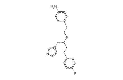 Nc1ccc(CCSC(CCc2ccc(F)cc2)Cn2ccnc2)cc1